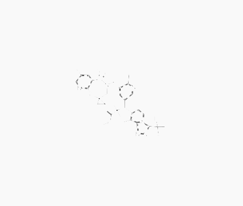 COC(=O)C(C)(C)[C@@H](c1cnc(C)c(CN2CC3(CC3)Oc3ncc(C)cc3S2(=O)=O)c1)c1ccn2c(C(F)(F)F)nnc2c1C